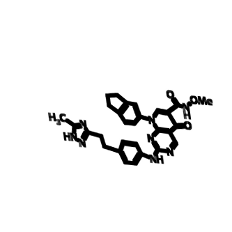 CONC(=O)c1cn(-c2ccc3c(c2)CCC3)c2nc(Nc3ccc(CCc4n[nH]c(C)n4)cc3)ncc2c1=O